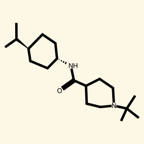 CC(C)[C@H]1CC[C@H](NC(=O)C2CCN(C(C)(C)C)CC2)CC1